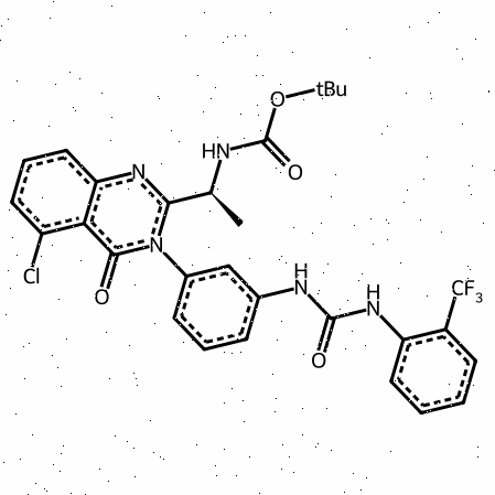 C[C@H](NC(=O)OC(C)(C)C)c1nc2cccc(Cl)c2c(=O)n1-c1cccc(NC(=O)Nc2ccccc2C(F)(F)F)c1